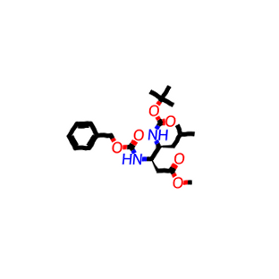 COC(=O)C[C@@H](NC(=O)OCc1ccccc1)[C@H](CC(C)C)NC(=O)OC(C)(C)C